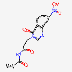 CNC(=O)NC(=O)Cn1cnc2cc([N+](=O)O)ccc2c1=O